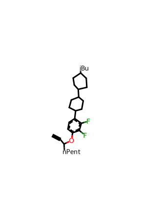 C#CC(CCCCC)Oc1ccc(C2CCC(C3CCC(C(C)CC)CC3)CC2)c(F)c1F